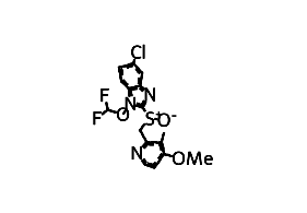 COc1ccnc(C[S+]([O-])c2nc3cc(Cl)ccc3n2OC(F)F)c1C